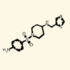 Nc1ccc(S(=O)(=O)N2CCC(NCc3cncs3)CC2)cc1